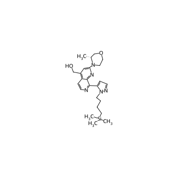 C[C@@H]1COCCN1c1cc(CO)c2ccnc(-c3ccnn3CCCC[Si](C)(C)C)c2n1